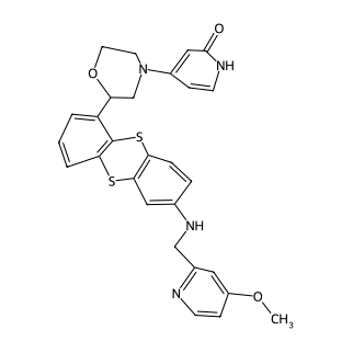 COc1ccnc(CNc2ccc3c(c2)Sc2cccc(C4CN(c5cc[nH]c(=O)c5)CCO4)c2S3)c1